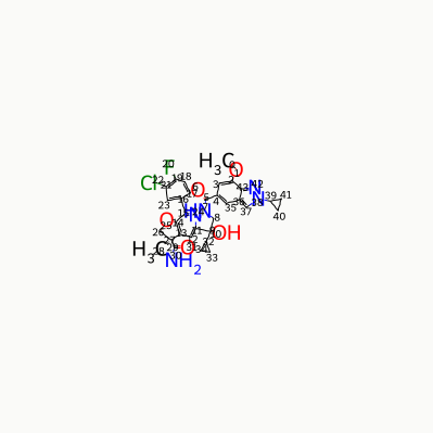 COc1cc(C(=O)NCC(O)(c2cc3c(c(-c4ccc(F)c(Cl)c4)n2)OC[C@]3(C)C(N)=O)C2CC2)cc2cn(C3CC3)nc12